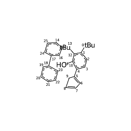 CC(C)(C)c1ccc(C2=CC=CC2)c(O)c1C(C)(C)C.c1ccc(-c2ccccc2)cc1